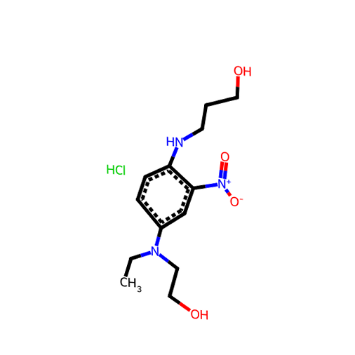 CCN(CCO)c1ccc(NCCCO)c([N+](=O)[O-])c1.Cl